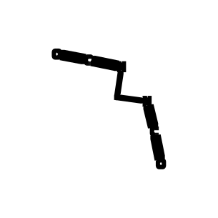 O=C=NCN=C=O